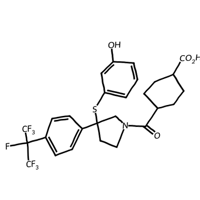 O=C(O)C1CCC(C(=O)N2CCC(Sc3cccc(O)c3)(c3ccc(C(F)(C(F)(F)F)C(F)(F)F)cc3)C2)CC1